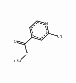 CCCCOC(=O)c1ccnc(C#N)c1